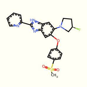 CS(=O)(=O)c1ccc(Oc2cc3nc(-c4ccccn4)[nH]c3cc2N2CC[C@@H](F)C2)cc1